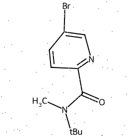 CN(C(=O)c1ccc(Br)cn1)C(C)(C)C